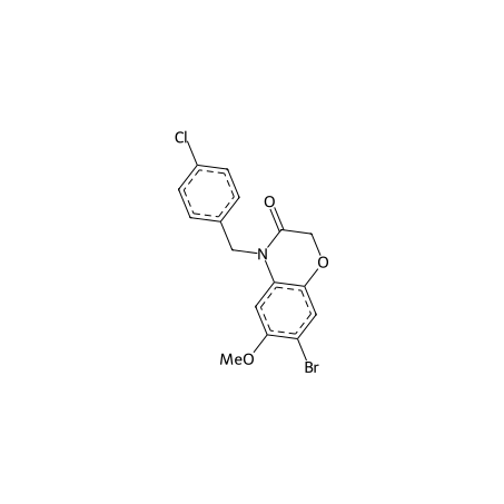 COc1cc2c(cc1Br)OCC(=O)N2Cc1ccc(Cl)cc1